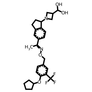 C/C(=N\OCc1ccc(OC2CCCC2)c(C(F)(F)F)c1)c1ccc2c(c1)CCC2N1CC(C(O)O)C1